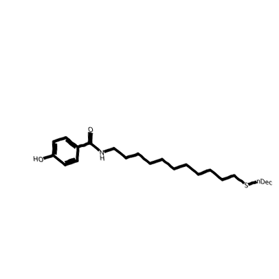 CCCCCCCCCCSCCCCCCCCCCCNC(=O)c1ccc(O)cc1